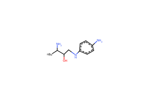 CCCCC(N)C(O)CNc1ccc(N)cc1